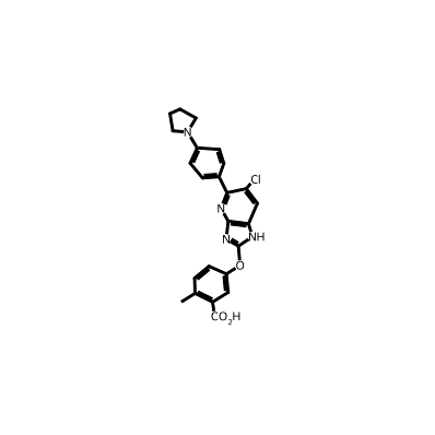 Cc1ccc(Oc2nc3nc(-c4ccc(N5CCCC5)cc4)c(Cl)cc3[nH]2)cc1C(=O)O